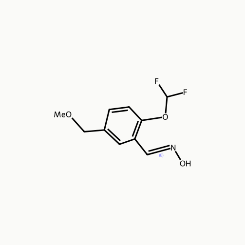 COCc1ccc(OC(F)F)c(/C=N/O)c1